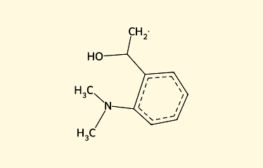 [CH2]C(O)c1ccccc1N(C)C